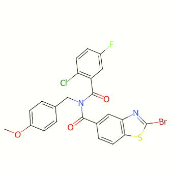 COc1ccc(CN(C(=O)c2ccc3sc(Br)nc3c2)C(=O)c2cc(F)ccc2Cl)cc1